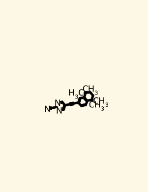 CC1(C)CCC(C)(C)c2cc(C#Cc3cnc(C#N)nc3)ccc21